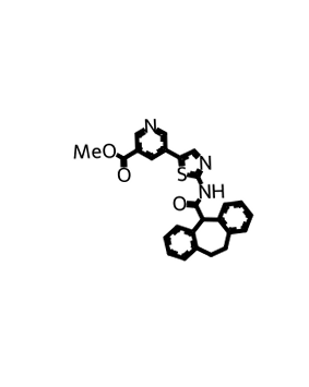 COC(=O)c1cncc(-c2cnc(NC(=O)C3c4ccccc4CCc4ccccc43)s2)c1